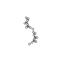 c1ccc(-c2ccc(-n3c4ccccc4c4c5c6ccccc6n(-c6ccc7c(c6)oc6cc(-c8cccc(-c9ccc(-n%10c%11ccccc%11c%11c%12c%13ccccc%13n(-c%13ccc%14oc%15ccccc%15c%14c%13)c%12ccc%11%10)cc9)c8)ccc67)c5ccc43)cc2)cc1